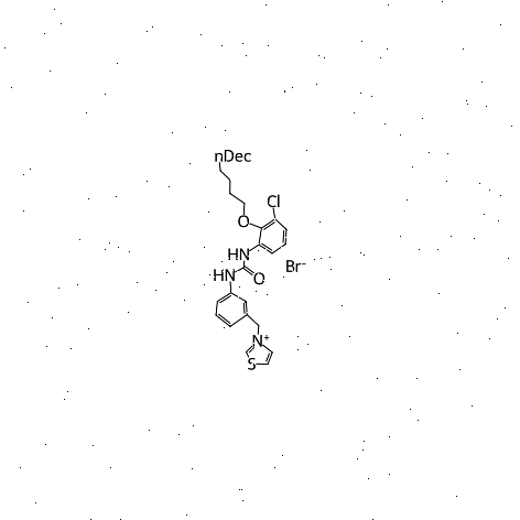 CCCCCCCCCCCCCCOc1c(Cl)cccc1NC(=O)Nc1cccc(C[n+]2ccsc2)c1.[Br-]